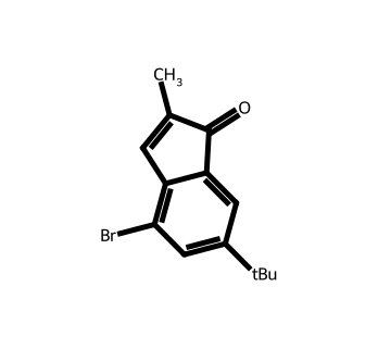 CC1=Cc2c(Br)cc(C(C)(C)C)cc2C1=O